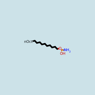 CCCCCCCCCCCCCCCCCCOP(N)O